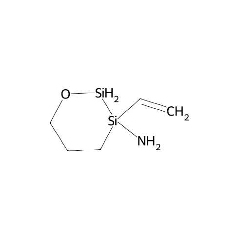 C=C[Si]1(N)CCCO[SiH2]1